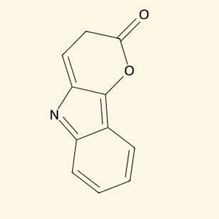 O=C1CC=C2N=c3ccccc3=C2O1